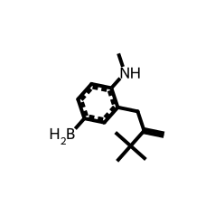 Bc1ccc(NC)c(CC(=C)C(C)(C)C)c1